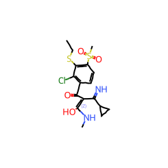 CCSc1c(S(C)(=O)=O)ccc(C(=O)/C(C(=N)C2CC2)=C(\O)NC)c1Cl